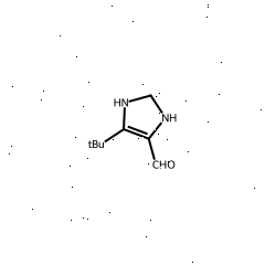 CC(C)(C)C1=C(C=O)NCN1